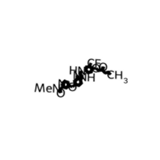 C/C=C/C(=O)COc1ccc(Nc2nc3cc(Oc4ccnc(C(=O)NC)c4)ccc3[nH]2)cc1C(F)(F)F